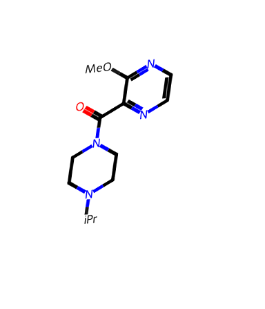 COc1nccnc1C(=O)N1CCN(C(C)C)CC1